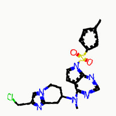 Cc1ccc(S(=O)(=O)n2ccc3c(N(C)C4CCn5cc(CCl)nc5C4)ncnc32)cc1